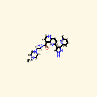 Cc1cccc(-c2n[nH]cc2-c2ccc3nccc(C(=O)NCCN4CCN(C(C)C)CC4)c3n2)n1